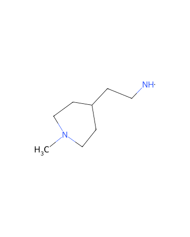 CN1CCC(CC[NH])CC1